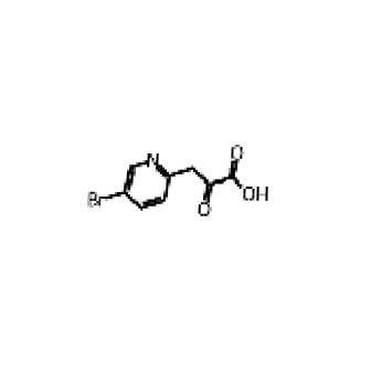 O=C(O)C(=O)Cc1ccc(Br)cn1